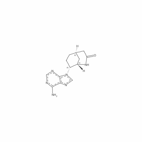 Nc1ncnc2c1ncn2[C@@H]1CC[C@H]2CC(=O)N[C@H]1C2